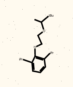 CC(C)c1cccc(C(C)C)c1OCCOC(C)C(C)(C)C